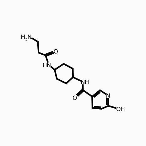 NCCC(=O)NC1CCC(NC(=O)c2ccc(O)nc2)CC1